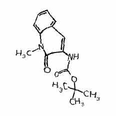 Cn1c(=O)c(NC(=O)OC(C)(C)C)cc2ccccc21